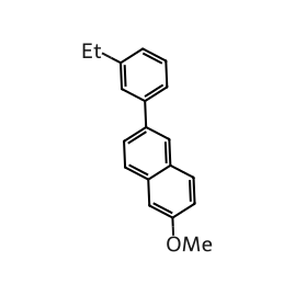 CCc1cccc(-c2ccc3cc(OC)ccc3c2)c1